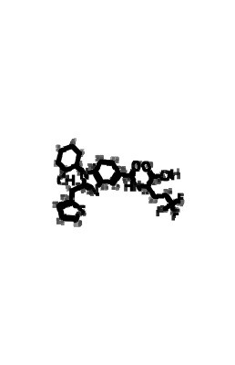 C[C@@H]1CCCCC1n1c(Cc2cccs2)nc2cc(C(=O)NC(CCC(F)(F)F)C(=O)O)ccc21